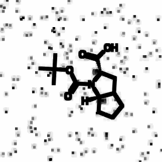 CC(C)(C)OC(=O)N1[C@H](C(=O)O)CC2CCC[C@@H]21